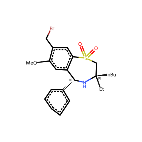 CCCC[C@]1(CC)CS(=O)(=O)c2cc(CBr)c(OC)cc2[C@@H](c2ccccc2)N1